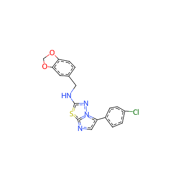 Clc1ccc(-c2cnc3sc(NCc4ccc5c(c4)OCO5)nn23)cc1